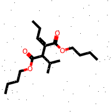 CCC=C(C(=O)OCCCC)C(C(=O)OCCCC)C(C)C